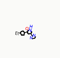 CCc1ccc(-c2cc(-c3ncccn3)c[nH]c2=O)cc1